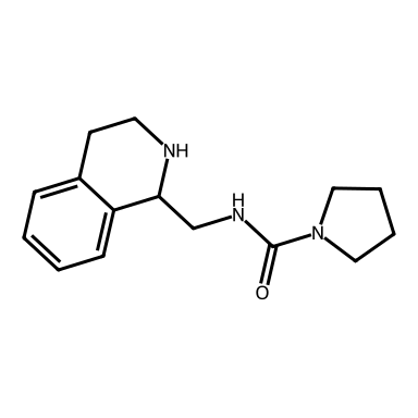 O=C(NCC1NCCc2ccccc21)N1CCCC1